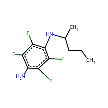 CCCC(C)Nc1c(F)c(F)c(N)c(F)c1F